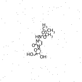 CC(C)(C)OC(=O)Nc1ccn([C@H]2CC(O)[C@@H](CO)O2)c(=O)n1